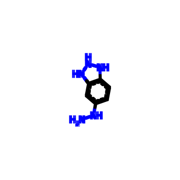 NNc1ccc2c(c1)NNN2